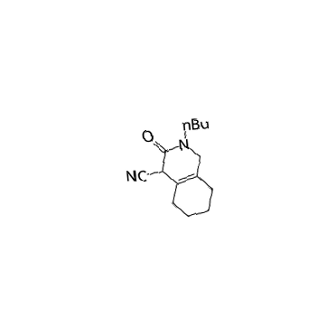 CCCCN1CC2=C(CCCC2)C(C#N)C1=O